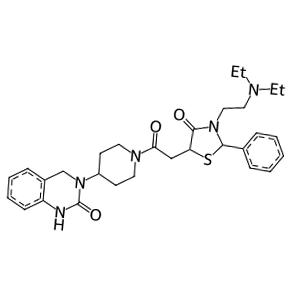 CCN(CC)CCN1C(=O)C(CC(=O)N2CCC(N3Cc4ccccc4NC3=O)CC2)SC1c1ccccc1